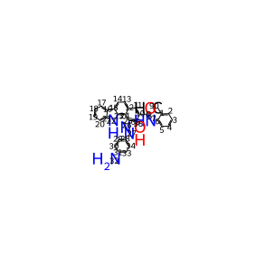 Cc1ccccc1NC(=O)c1cc2ccc3c4ccccc4[nH]c3c2c(N=Nc2ccc(N)cc2)c1O